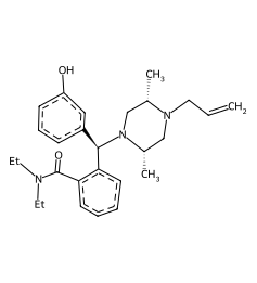 C=CCN1C[C@H](C)N([C@H](c2cccc(O)c2)c2ccccc2C(=O)N(CC)CC)C[C@@H]1C